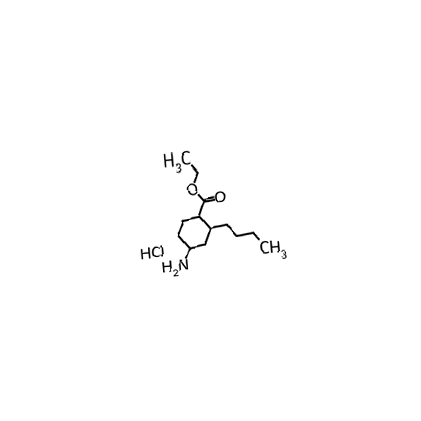 CCCCC1CC(N)CCC1C(=O)OCC.Cl